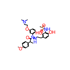 COc1ccc(C(C)C(=O)N(NCCc2ccc(O)c(NS(C)(=O)=O)c2O)c2cccc(OCCN(C)C)c2)cc1